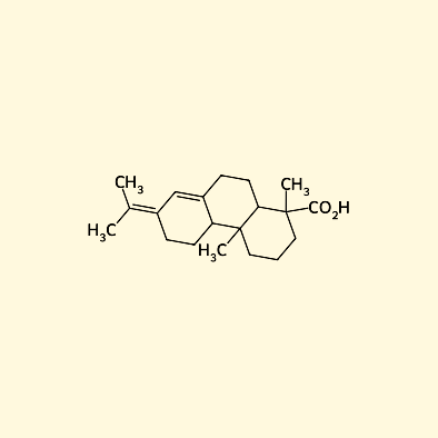 CC(C)=C1C=C2CCC3C(C)(C(=O)O)CCCC3(C)C2CC1